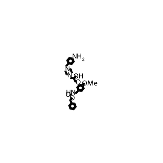 COc1ccc(CNC(=O)OCc2ccccc2)cc1OCC(O)CN1CCN(Cc2ccc(N)cc2)CC1